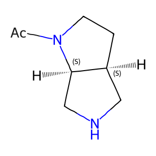 CC(=O)N1CC[C@H]2CNC[C@H]21